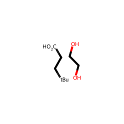 CC(C)(C)CCC(=O)O.OCCO